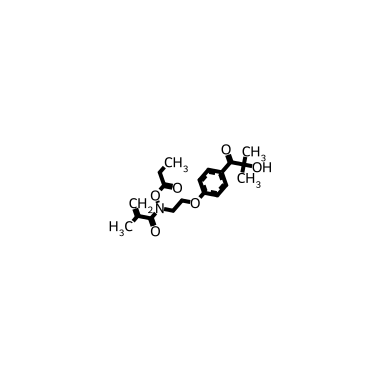 C=C(C)C(=O)N(CCOc1ccc(C(=O)C(C)(C)O)cc1)OC(=O)CC